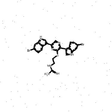 N=C(N)NCCSc1nc(-c2c[nH]c3cc(Br)ccc23)cnc1-c1c[nH]c2cc(Br)ccc12